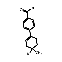 CC1(O)CC=C(c2ccc(C(=O)O)cc2)CC1